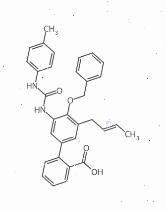 C/C=C/Cc1cc(-c2ccccc2C(=O)O)cc(NC(=O)Nc2ccc(C)cc2)c1OCc1ccccc1